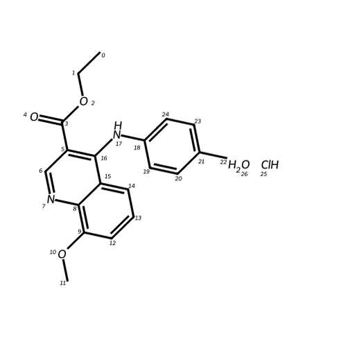 CCOC(=O)c1cnc2c(OC)cccc2c1Nc1ccc(C)cc1.Cl.O